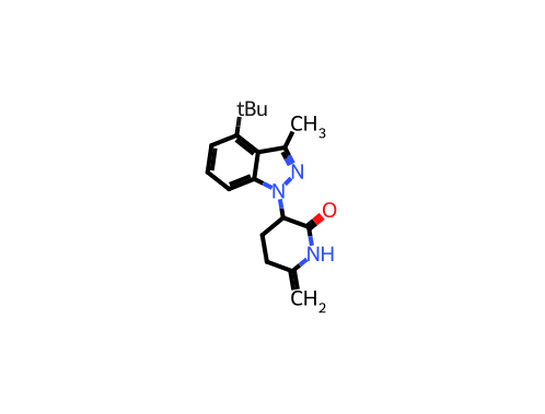 C=C1CCC(n2nc(C)c3c(C(C)(C)C)cccc32)C(=O)N1